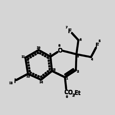 CCOC(=O)C1=CC(CF)(CF)Oc2ccc(I)cc21